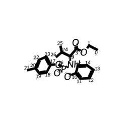 CCOC(=O)[C@@H](NP(=O)(Oc1ccccc1)Oc1ccc(C)cc1)C(C)C